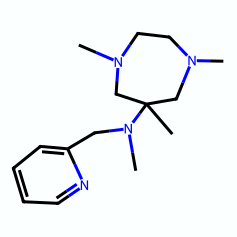 CN1CCN(C)CC(C)(N(C)Cc2ccccn2)C1